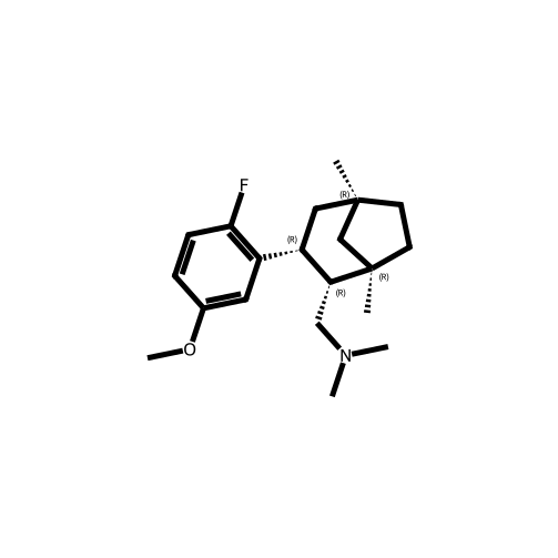 COc1ccc(F)c([C@@H]2C[C@@]3(C)CC[C@](C)(C3)[C@@H]2CN(C)C)c1